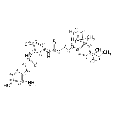 CCC(C)(C)c1ccc(OCCCC(=O)Nc2ccc(Cl)c(NC(=O)CCc3ccc(O)cc3N)c2)c(C(C)(C)CC)c1